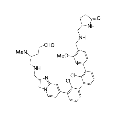 CNC(CCC=O)CNCc1cn2ccc(-c3cccc(-c4cccc(-c5ccc(CNCC6CCC(=O)N6)c(OC)n5)c4Cl)c3Cl)cc2n1